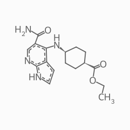 CCOC(=O)[C@H]1CC[C@@H](Nc2c(C(N)=O)cnc3[nH]ccc23)CC1